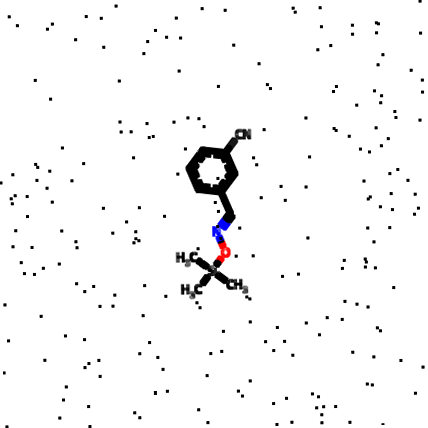 C[Si](C)(C)ON=Cc1cccc(C#N)c1